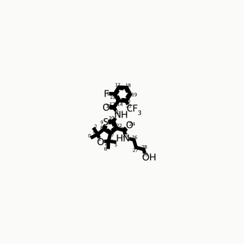 CC1(C)OC(C)(C)c2c1sc(NC(=O)c1c(F)cccc1C(F)(F)F)c2C(=O)NCCCO